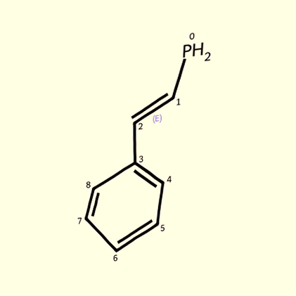 P/C=C/c1ccccc1